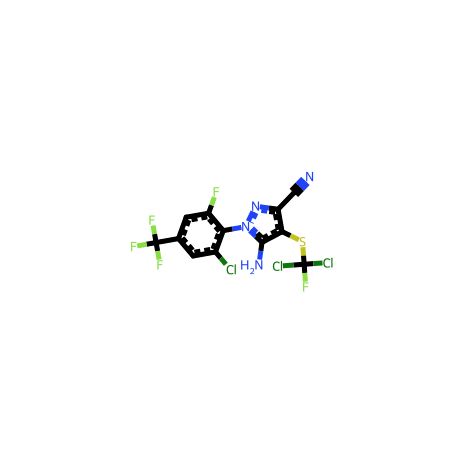 N#Cc1nn(-c2c(F)cc(C(F)(F)F)cc2Cl)c(N)c1SC(F)(Cl)Cl